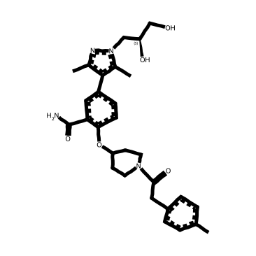 Cc1ccc(CC(=O)N2CCC(Oc3ccc(-c4c(C)nn(C[C@H](O)CO)c4C)cc3C(N)=O)CC2)cc1